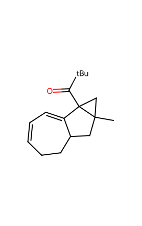 CC(C)(C)C(=O)C12CC1(C)CC1CCC=CC=C12